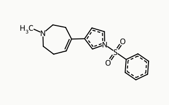 CN1CCC=C(c2ccn(S(=O)(=O)c3ccccc3)c2)CC1